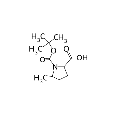 CC1CCC(C(=O)O)N1C(=O)OC(C)(C)C